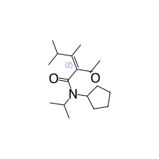 CC(=O)/C(C(=O)N(C(C)C)C1CCCC1)=C(\C)C(C)C